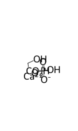 O=C(O)CO.O=P([O-])([O-])O.[Ca+2]